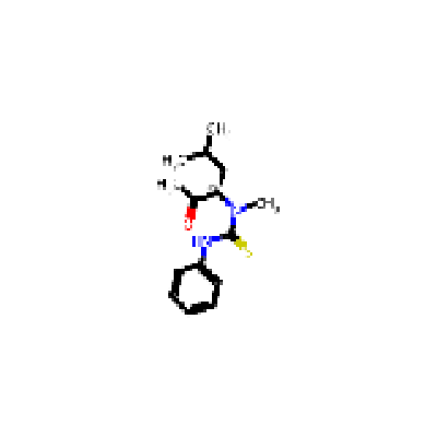 CC(=O)[C@@H](CC(C)C)N(C)C(=S)Nc1ccccc1